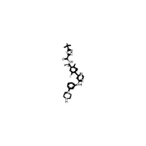 Cc1cc(-c2cc(Nc3cccc(N4CCNCC4)c3)ncn2)c(F)cc1[C@@H](C)NC(=O)c1nc(C(C)(C)C)no1